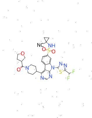 N#CC1(NS(=O)(=O)c2ccc3c4c(C5CCN(C(=O)C6CCOC6)CC5)ncnc4n(-c4nnc(C(F)F)s4)c3c2)CC1